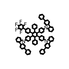 Fc1c(F)c(F)c(-c2ccc(-c3c(-c4ccccc4)c(-c4ccc(-n5c6ccccc6c6ccc(-c7ccccc7)cc65)cc4)c(-c4ccc(-n5c6ccccc6c6ccc(-c7ccccc7)cc65)cc4)c(-c4ccccc4)c3-c3ccc(-n4c5ccccc5c5ccc(-c6ccccc6)cc54)cc3)cc2)c(F)c1F